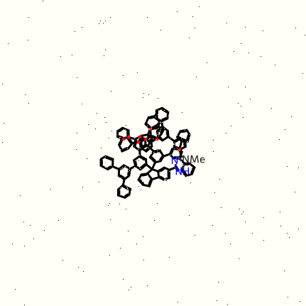 CN/C(=N\C(=N)c1ccc2c(c1)C(c1cc(-c3cc(-c4ccccc4)cc(-c4ccccc4)c3)cc(-c3cc(-c4ccccc4)cc(-c4ccccc4)c3)c1)(c1cc(-c3cc(-c4ccccc4)cc(-c4ccccc4)c3)cc(-c3cc(-c4ccccc4)cc(-c4ccccc4)c3)c1)c1ccccc1-2)c1cccc(-c2cc(-c3ccccc3)cc(-c3ccccc3)c2)c1